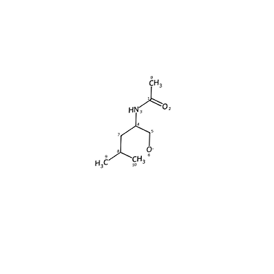 CC(=O)NC(C[O])CC(C)C